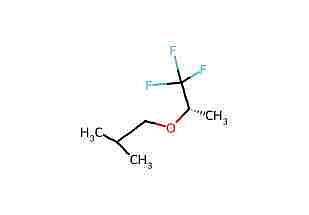 CC(C)CO[C@@H](C)C(F)(F)F